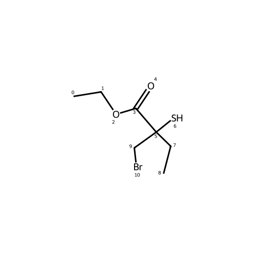 CCOC(=O)C(S)(CC)CBr